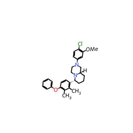 COc1cc(N2CCN3[C@@H](CCC[C@@H]3c3ccc(Oc4ccccc4)c(C)c3C)C2)ccc1Cl